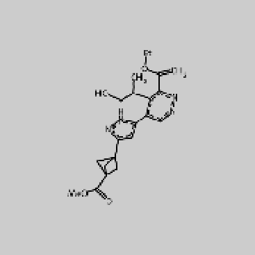 C=C(OCC)c1nncc(-c2cc(C34CC(C(=O)OC)(C3)C4)n[nH]2)c1C(C)CO